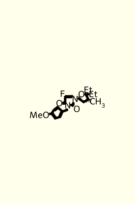 CCC1(CC)O[C@@H](n2cc(F)c(=O)n(Cc3ccc(OC)cc3)c2=O)C[C@@H]1C